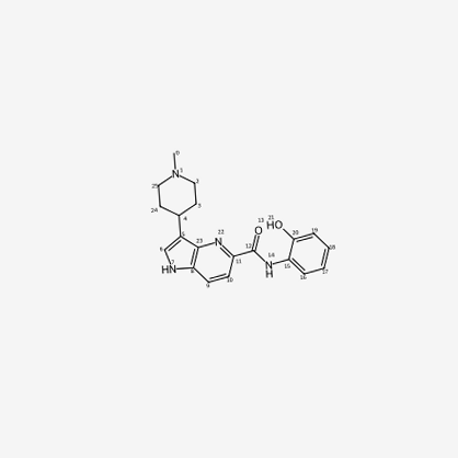 CN1CCC(c2c[nH]c3ccc(C(=O)Nc4ccccc4O)nc23)CC1